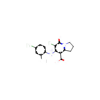 Cc1cc(Br)ccc1Nc1c(C(=O)O)c2n(c(=O)c1F)CCC2